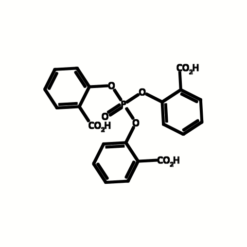 O=C(O)c1ccccc1OP(=O)(Oc1ccccc1C(=O)O)Oc1ccccc1C(=O)O